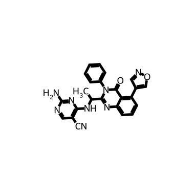 CC(Nc1nc(N)ncc1C#N)c1nc2cccc(-c3cnoc3)c2c(=O)n1-c1ccccc1